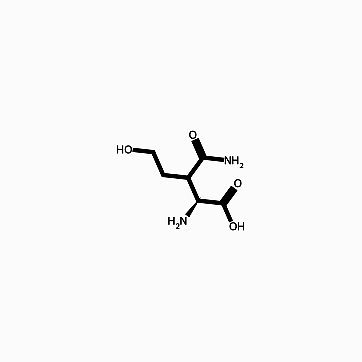 NC(=O)C(CCO)[C@H](N)C(=O)O